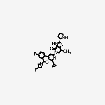 Cc1cn(-c2cc(-c3ccc(F)cc3C(=O)N3CC(F)C3)cc(C3CC3)n2)c(=O)c2[nH]c([C@H]3CCCN3)nc12